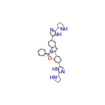 c1ccc([C@@H]2Oc3cc(-c4cnc(C5CCCN5)[nH]4)ccc3-c3cc4cc(-c5cnc(C6CCCN6)[nH]5)ccc4n32)cc1